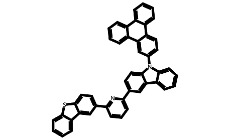 c1cc(-c2ccc3sc4ccccc4c3c2)nc(-c2ccc3c(c2)c2ccccc2n3-c2ccc3c4ccccc4c4ccccc4c3c2)c1